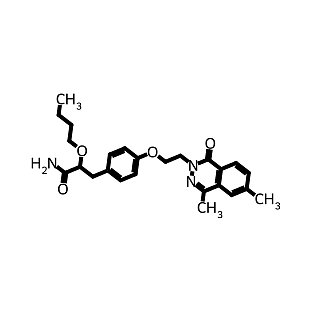 CCCCOC(Cc1ccc(OCCn2nc(C)c3cc(C)ccc3c2=O)cc1)C(N)=O